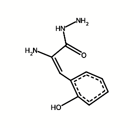 NNC(=O)/C(N)=C\c1ccccc1O